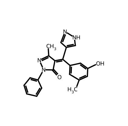 CC1=NN(c2ccccc2)C(=O)/C1=C(/c1cn[nH]c1)c1cc(C)cc(O)c1